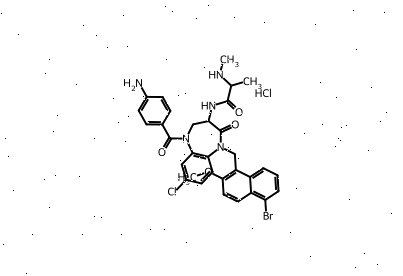 CNC(C)C(=O)NC1CN(C(=O)c2ccc(N)cc2)c2cc(Cl)ccc2N(Cc2c(OC)ccc3c(Br)cccc23)C1=O.Cl